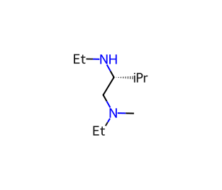 CCN[C@@H](CN(C)CC)C(C)C